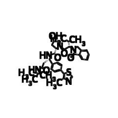 Cc1ncsc1-c1ccc([C@H](CC(=O)NC(C)(C)C)NC(=O)[C@@H]2C[C@@H](O)CN2C(=O)[C@H](C(C)C)N2Cc3ccccc3C2=O)cc1